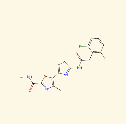 CNC(=O)c1nc(C)c(-c2csc(NC(=O)Cc3c(F)cccc3F)n2)s1